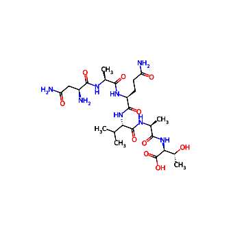 CC(C)[C@H](NC(=O)[C@H](CCC(N)=O)NC(=O)[C@H](C)NC(=O)[C@@H](N)CC(N)=O)C(=O)N[C@@H](C)C(=O)N[C@H](C(=O)O)[C@@H](C)O